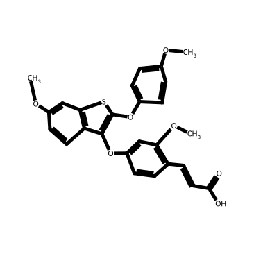 COc1ccc(Oc2sc3cc(OC)ccc3c2Oc2ccc(C=CC(=O)O)c(OC)c2)cc1